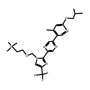 Cc1cc(OCC(C)C)ncc1-c1cnc(-c2nc(C(F)(F)F)cn2COCC[Si](C)(C)C)cn1